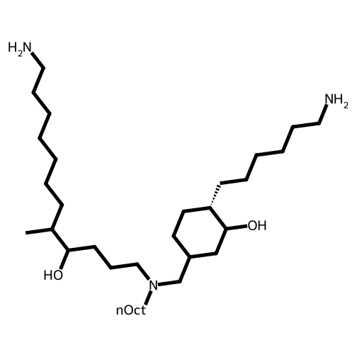 CCCCCCCCN(CCCC(O)C(C)CCCCCCCN)CC1CC[C@H](CCCCCCN)C(O)C1